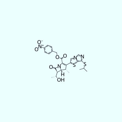 CC(C)Sc1ncn2cc(C3=C(C(=O)OCc4ccc([N+](=O)[O-])cc4)N4C(=O)[C@H]([C@@H](C)O)[C@H]4[C@H]3C)sc12